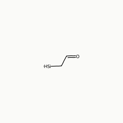 O=CC[SiH]